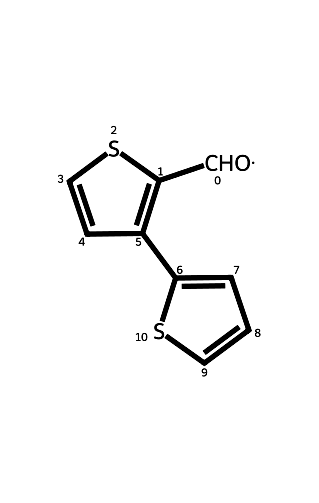 O=[C]c1sccc1-c1cccs1